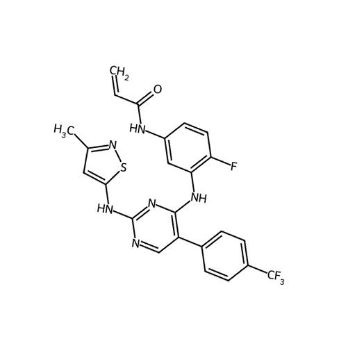 C=CC(=O)Nc1ccc(F)c(Nc2nc(Nc3cc(C)ns3)ncc2-c2ccc(C(F)(F)F)cc2)c1